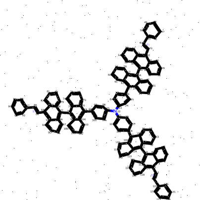 C(=C\c1c2ccccc2c(-c2c3ccccc3c(-c3ccc(N(c4ccc(-c5c6ccccc6c(-c6c7ccccc7c(/C=C/c7ccccc7)c7ccccc67)c6ccccc56)cc4)c4ccc(-c5c6ccccc6c(-c6c7ccccc7c(/C=C/c7ccccc7)c7ccccc67)c6ccccc56)cc4)cc3)c3ccccc23)c2ccccc12)/c1ccccc1